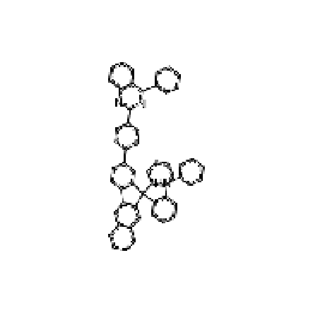 c1ccc(Nc2ccccc2C2(c3ccccc3)c3cc(-c4ccc(-c5nc(-c6ccccc6)c6ccccc6n5)cc4)ccc3-c3cc4ccccc4cc32)cc1